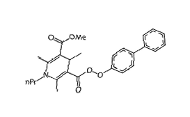 CCCN1C(C)=C(C(=O)OC)C(C)C(C(=O)OOc2ccc(-c3ccccc3)cc2)=C1C